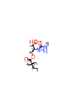 CCC(C)(C)C(=O)OCC(CO)NC(=O)NI